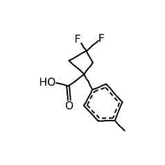 Cc1ccc(C2(C(=O)O)CC(F)(F)C2)cc1